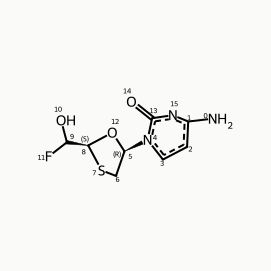 Nc1ccn([C@H]2CS[C@@H](C(O)F)O2)c(=O)n1